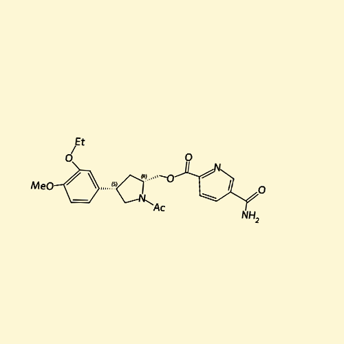 CCOc1cc([C@@H]2C[C@H](COC(=O)c3ccc(C(N)=O)cn3)N(C(C)=O)C2)ccc1OC